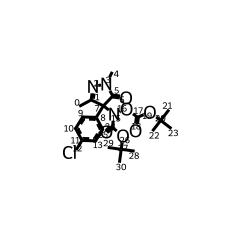 CC1=NN(C)C(=O)C1(c1ccc(Cl)cc1)N(OC(=O)OC(C)(C)C)C(=O)OC(C)(C)C